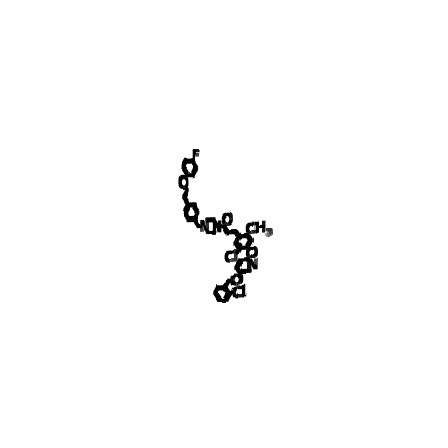 Cc1cc(Oc2ccc(OCc3ccccc3Cl)cn2)c(Cl)cc1/C=C/C(=O)N1CCN(Cc2ccc(CCOc3ccc(F)cc3)cc2)CC1